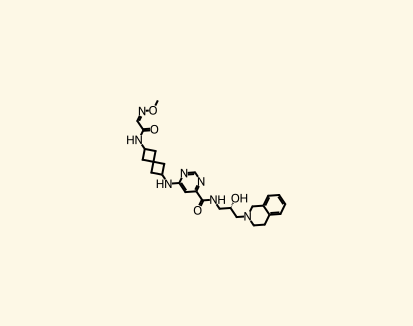 CO/N=C\C(=O)NC1CC2(C1)CC(Nc1cc(C(=O)NC[C@H](O)CN3CCc4ccccc4C3)ncn1)C2